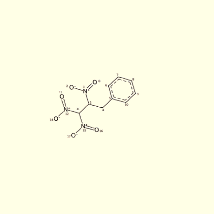 O=[N+]([O-])C(Cc1ccccc1)C([N+](=O)[O-])[N+](=O)[O-]